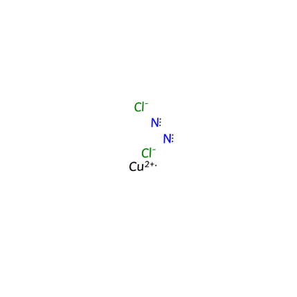 [Cl-].[Cl-].[Cu+2].[N].[N]